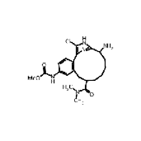 COC(=O)Nc1ccc2c(c1)CC(C(=O)N(C)C)CCCCC(N)c1nc-2c(Cl)[nH]1